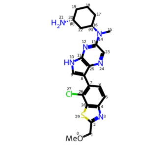 COCc1nc2ccc(-c3c[nH]c4nc(N(C)[C@@H]5CCC[C@@H](N)C5)cnc34)c(Cl)c2s1